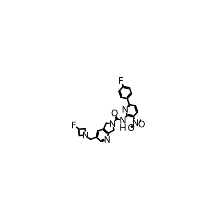 O=C(Nc1nc(-c2ccc(F)cc2)ccc1[N+](=O)[O-])N1Cc2cc(CN3CC(F)C3)cnc2C1